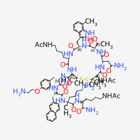 CC(=O)NCCCCC1NC(=O)[C@@H](Cc2c[nH]c3c(C)cccc23)NC(=O)[C@H]([C@@H](C)O)NC(=O)C(CC(N)=O)NC(=O)[C@@H](NC(C)=O)C(C)(C)SSC(C)(C)[C@@H](C(=O)N[C@@H](Cc2ccc(OCCN)cc2)C(=O)N[C@@H](Cc2ccc3ccccc3c2)C(=O)NC(C)(CCCCN)C(=O)N[C@@H](CCCCNC(C)=O)C(N)=O)NC1=O